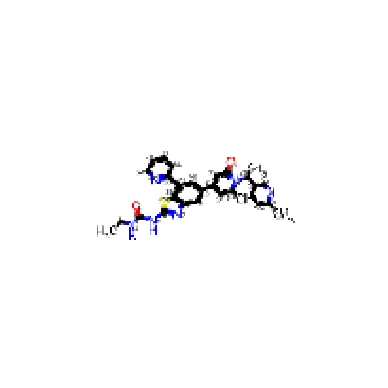 CCNC(=O)Nc1nc2cc(-c3cc(C)n(C(C)c4ccc(C)nc4)c(=O)c3)cc(-c3ccccn3)c2s1